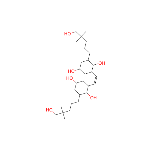 CC(C)(CO)CCCC1CC(O)CC(/C=C\C2CC(O)CC(CCCC(C)(C)CO)C2O)C1O